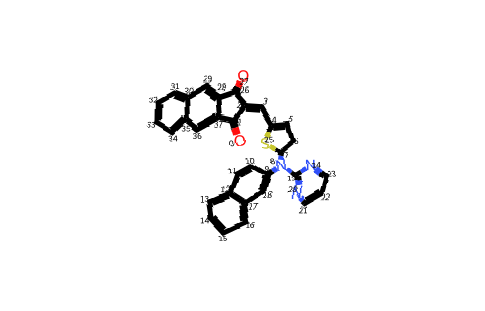 O=C1C(=CC2=CCC(N(c3ccc4ccccc4c3)c3ncccn3)S2)C(=O)c2cc3ccccc3cc21